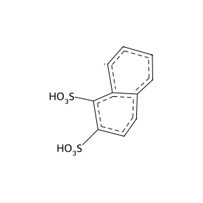 O=S(=O)(O)c1ccc2ccc[c]c2c1S(=O)(=O)O